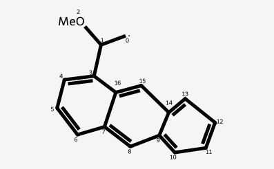 [CH2]C(OC)c1cccc2cc3ccccc3cc12